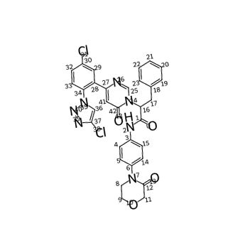 O=C(Nc1ccc(N2CCOCC2=O)cc1)C(Cc1ccccc1)n1cnc(-c2cc(Cl)ccc2-n2cc(Cl)nn2)cc1=O